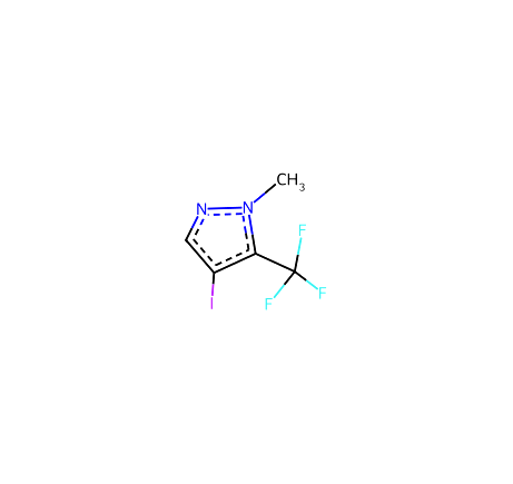 Cn1ncc(I)c1C(F)(F)F